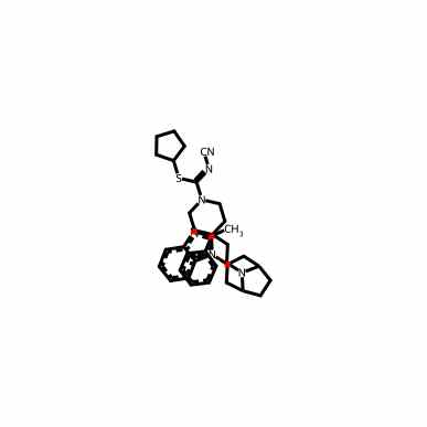 Cc1nc2ccccc2n1C1CC2CCC(C1)N2CCC1(c2ccccc2)CCN(C(=NC#N)SC2CCCC2)CC1